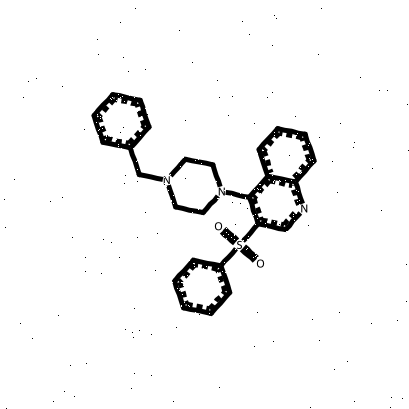 O=S(=O)(c1ccccc1)c1cnc2ccccc2c1N1CCN(Cc2ccccc2)CC1